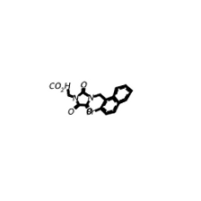 O=C(O)CN1C(=O)C(=O)N(Cc2c(Br)ccc3ccccc23)C1=O